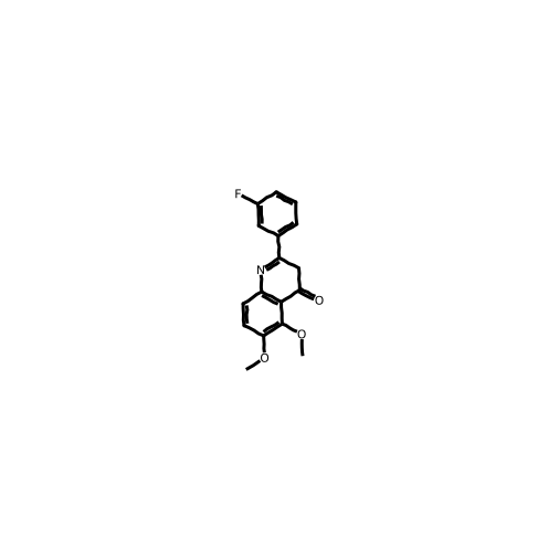 COc1ccc2c(c1OC)C(=O)CC(c1cccc(F)c1)=N2